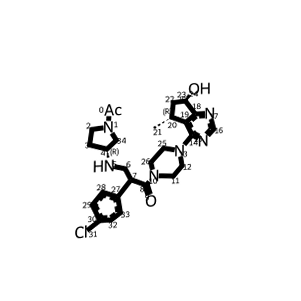 CC(=O)N1CC[C@@H](NCC(C(=O)N2CCN(c3ncnc4c3[C@H](C)C[C@H]4O)CC2)c2ccc(Cl)cc2)C1